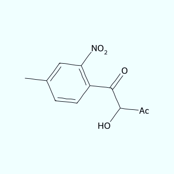 CC(=O)C(O)C(=O)c1ccc(C)cc1[N+](=O)[O-]